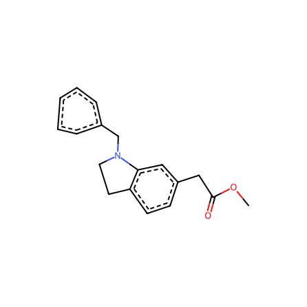 COC(=O)Cc1ccc2c(c1)N(Cc1ccccc1)CC2